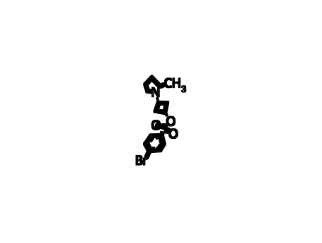 CC1CCCN1[C@H]1C[C@@H](OS(=O)(=O)c2ccc(Br)cc2)C1